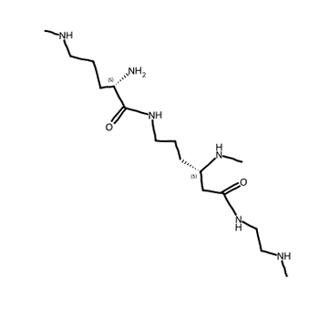 CNCCC[C@H](N)C(=O)NCCC[C@@H](CC(=O)NCCNC)NC